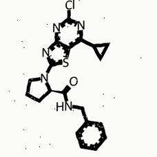 O=C(NCc1ccccc1)[C@H]1CCCN1c1nc2nc(Cl)nc(C3CC3)c2s1